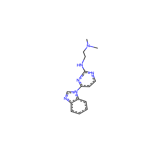 CN(C)CCNc1nccc(-n2cnc3ccccc32)n1